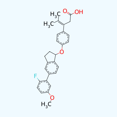 COc1ccc(F)c(-c2ccc3c(c2)CCC3Oc2ccc(C(CC(=O)O)=C(C)C)cc2)c1